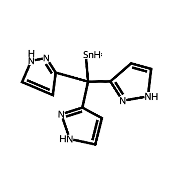 [SnH][C](c1cc[nH]n1)(c1cc[nH]n1)c1cc[nH]n1